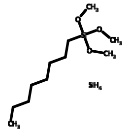 CCCCCCCC[Si](OC)(OC)OC.[SiH4]